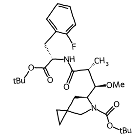 CO[C@H]([C@@H](C)C(=O)N[C@@H](Cc1ccccc1F)C(=O)OC(C)(C)C)[C@@H]1CC2(CC2)CN1C(=O)OC(C)(C)C